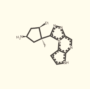 CC[C@@H]1C[C@H](N)C[C@]1(F)c1nnc2cnc3[nH]ccc3n12